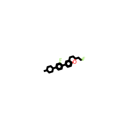 CC1CCC(c2ccc(-c3ccc4c(c3)CCC(CCF)O4)c(F)c2)CC1